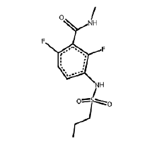 CCCS(=O)(=O)Nc1ccc(F)c(C(=O)NC)c1F